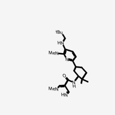 CN/C=C(\C=N)C(=O)NC1CC(c2ccc(NCC(C)(C)C)c(NC)n2)CCC1(C)C